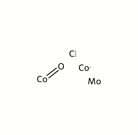 [C].[Co].[Mo].[O]=[Co]